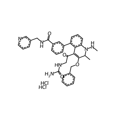 CNN1c2cccc(-c3cccc(C(=O)NCc4cccnc4)c3)c2C(C(=O)CNC(N)=O)=C(OCc2ccccc2)C1C.Cl.Cl